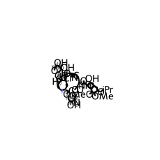 COc1c(OC(C)C)cc2cc(O)c(C(=O)NC3Cc4ccc(c(Cl)n4)O[C@H]4C=C5C#C/C(=C\C#C[C@@H]6OC56[C@@H]4O[C@H]4C[C@@](C)(O)[C@@H](O)[C@@H](C)O4)C(O[C@H]4C[C@H](O)[C@H](N(C)C)[C@H](C)O4)COC3=O)cc2c1OC